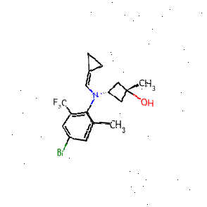 Cc1cc(Br)cc(C(F)(F)F)c1N(C=C1CC1)[C@H]1C[C@@](C)(O)C1